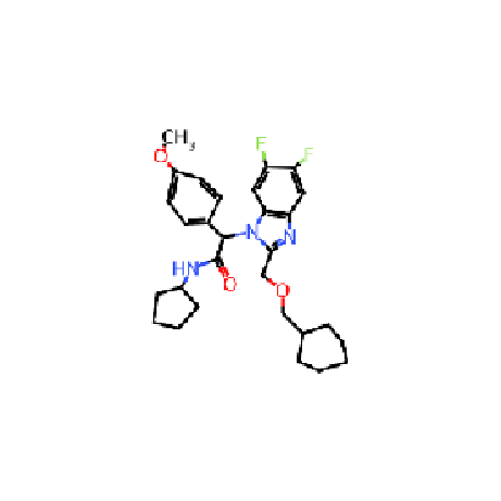 COc1ccc(C(C(=O)NC2CCCC2)n2c(COCC3CCCCC3)nc3cc(F)c(F)cc32)cc1